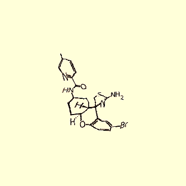 Cc1ccc(C(=O)NC2CC[C@@H]3Oc4ccc(Br)cc4C4(CSC(N)=N4)[C@H]3C2)nc1